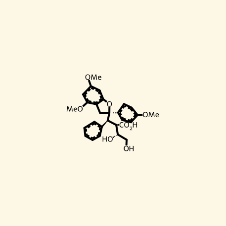 COc1ccc([C@]2([C@H](c3ccccc3)[C@@H](C(=O)O)[C@@H](O)CO)Cc3c(OC)cc(OC)cc3O2)cc1